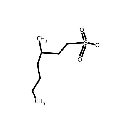 CCCCC(C)CCS([O])(=O)=O